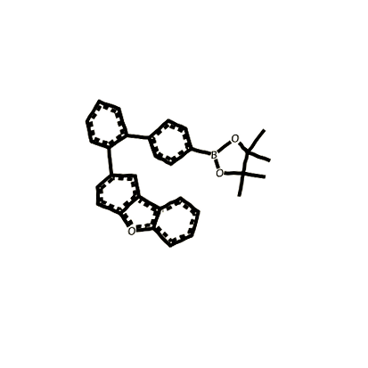 CC1(C)OB(c2ccc(-c3ccccc3-c3ccc4oc5ccccc5c4c3)cc2)OC1(C)C